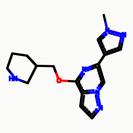 Cn1cc(-c2cn3nccc3c(OCC3CCCNC3)n2)cn1